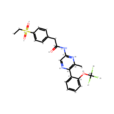 CCS(=O)(=O)c1ccc(CC(=O)Nc2cnc(-c3ccccc3OC(F)(F)F)c(C)n2)cc1